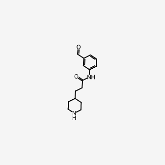 O=Cc1cccc(NC(=O)CCC2CCNCC2)c1